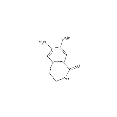 COc1cc2c(cc1N)CCNC2=O